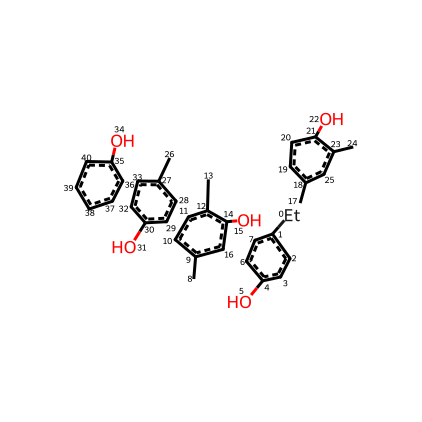 CCc1ccc(O)cc1.Cc1ccc(C)c(O)c1.Cc1ccc(O)c(C)c1.Cc1ccc(O)cc1.Oc1ccccc1